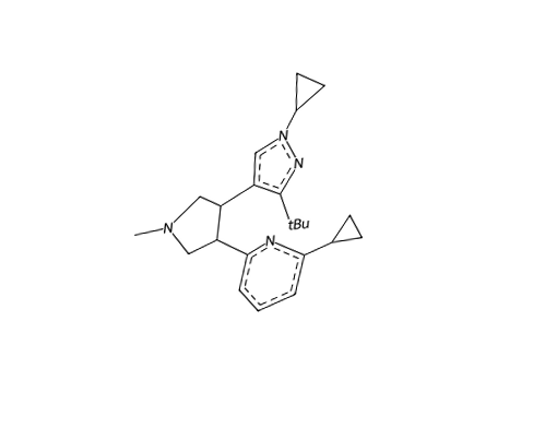 CN1CC(c2cccc(C3CC3)n2)C(c2cn(C3CC3)nc2C(C)(C)C)C1